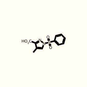 Cc1cn(S(=O)(=O)c2ccccc2)nc1C(=O)O